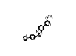 COc1cncc(-c2ccc3nc(Nc4ccc(-n5cncn5)cc4)sc3c2)c1